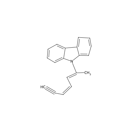 C#C/C=C\C=C(/C)n1c2ccccc2c2ccccc21